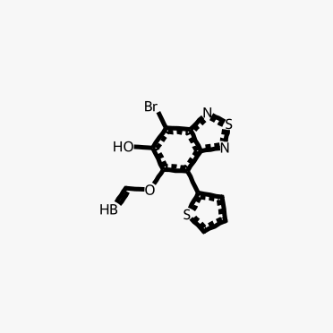 B=COc1c(O)c(Br)c2nsnc2c1-c1cccs1